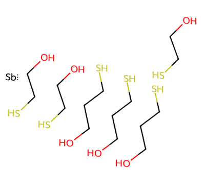 OCCCS.OCCCS.OCCCS.OCCS.OCCS.OCCS.[Sb]